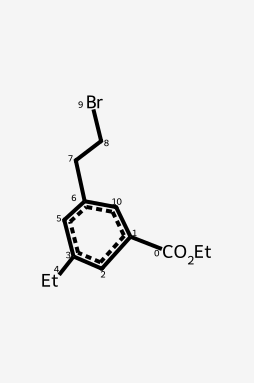 CCOC(=O)c1cc(CC)cc(CCBr)c1